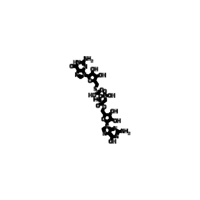 Nc1nc(O)c2ncn(C3OC(COP(=O)(O)CP(=O)(O)OP(=O)(O)SCC4OC(n5cnc6c(=O)[nH]c(N)nc65)C(O)C4O)C(O)C3O)c2n1